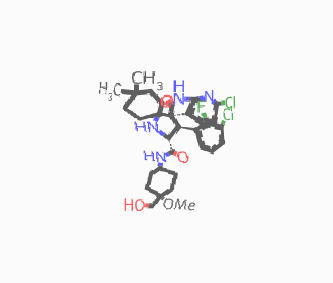 COC1(CO)CCC(NC(=O)[C@@H]2NC3(CCC(C)(C)CC3)[C@@]3(C(=O)Nc4nc(Cl)ccc43)[C@H]2c2cccc(Cl)c2F)CC1